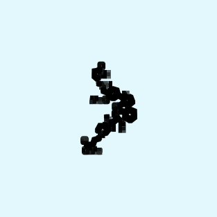 COC(=O)CCCN1CCc2c(nc(C(=O)Nc3cccc(-c4ccnc(-c5ccc(CNC[C@@H]6CCC(=O)N6)c(OC)c5)c4Cl)c3Cl)n2C)C1